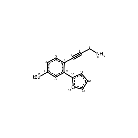 CC(C)(C)c1ccc(C#CCN)c(-c2ccco2)c1